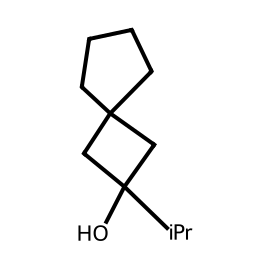 CC(C)C1(O)CC2(CCCC2)C1